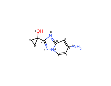 Nc1ccn2nc(C3(O)CC3)nc2c1